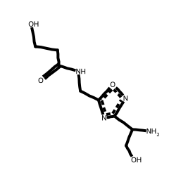 NC(CO)c1noc(CNC(=O)CCO)n1